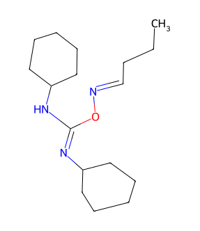 CCCC=NOC(=NC1CCCCC1)NC1CCCCC1